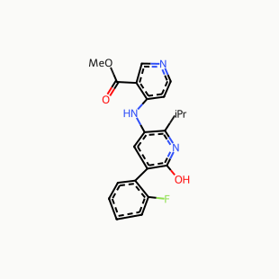 COC(=O)c1cnccc1Nc1cc(-c2ccccc2F)c(O)nc1C(C)C